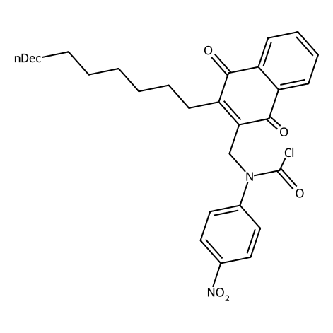 CCCCCCCCCCCCCCCCC1=C(CN(C(=O)Cl)c2ccc([N+](=O)[O-])cc2)C(=O)c2ccccc2C1=O